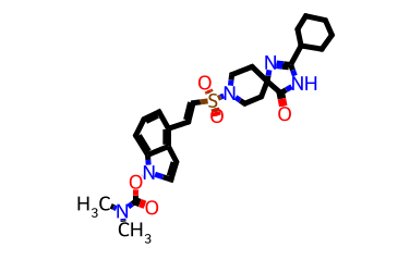 CN(C)C(=O)On1ccc2c(/C=C/S(=O)(=O)N3CCC4(CC3)N=C(C3CCCCC3)NC4=O)cccc21